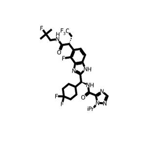 CC(C)n1ncnc1C(=O)N[C@H](c1nc2c(F)c([C@@H](CC(F)(F)F)C(=O)NCC(C)(C)F)ccc2[nH]1)C1CCC(F)(F)CC1